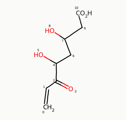 C=CC(=O)C(O)CC(O)CC(=O)O